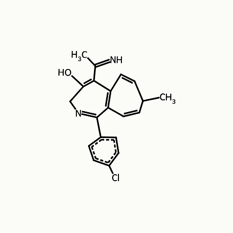 CC(=N)C1=C(O)CN=C(c2ccc(Cl)cc2)C2=C1C=CC(C)C=C2